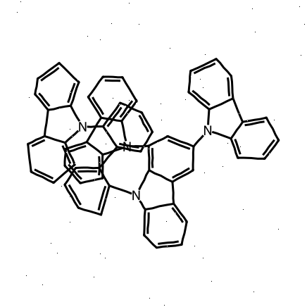 c1ccc(-n2c3ccccc3c3ccccc32)c(-c2ccccc2-n2c3ccccc3c3cc(-n4c5ccccc5c5ccccc54)cc(-n4c5ccccc5c5ccccc54)c32)c1